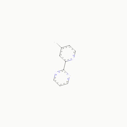 CC(C)(C)c1ccnc(-c2ncccn2)c1